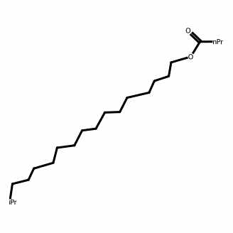 [CH2]CCC(=O)OCCCCCCCCCCCCCCCC(C)C